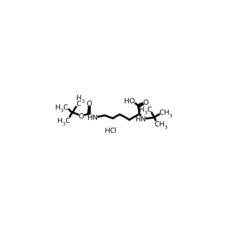 CC(C)(C)NC(CCCCNC(=O)OC(C)(C)C)C(=O)O.Cl